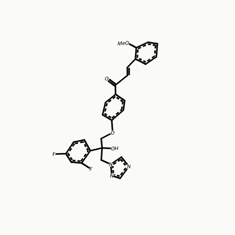 COc1ccccc1C=CC(=O)c1ccc(OCC(O)(Cn2cncn2)c2ccc(F)cc2F)cc1